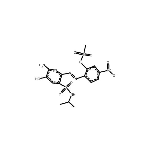 CC(C)NS(=O)(=O)c1cc(O)c(N)nc1/N=N/c1ccc([N+](=O)[O-])cc1OS(C)(=O)=O